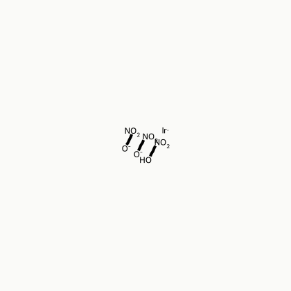 O=[N+]([O-])O.O=[N+]([O-])[O-].O=[N+]([O-])[O-].[Ir]